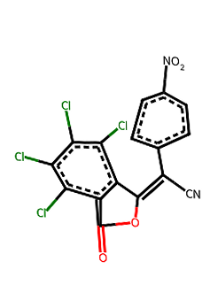 N#CC(=C1OC(=O)c2c(Cl)c(Cl)c(Cl)c(Cl)c21)c1ccc([N+](=O)[O-])cc1